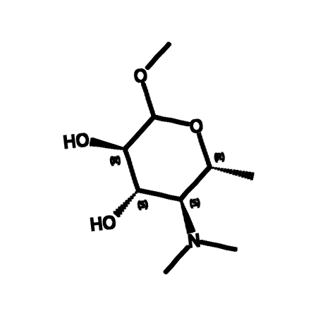 COC1O[C@H](C)[C@@H](N(C)C)[C@H](O)[C@H]1O